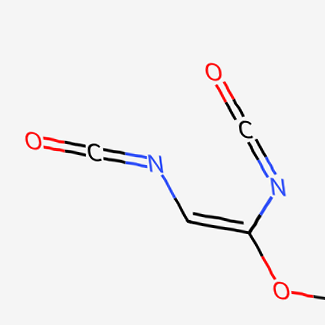 CCOC(=CN=C=O)N=C=O